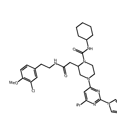 COc1ccc(CCNC(=O)CC2CN(c3cc(C(C)C)nc(-n4ccnc4)n3)CCN2C(=O)NC2CCCCC2)cc1Cl